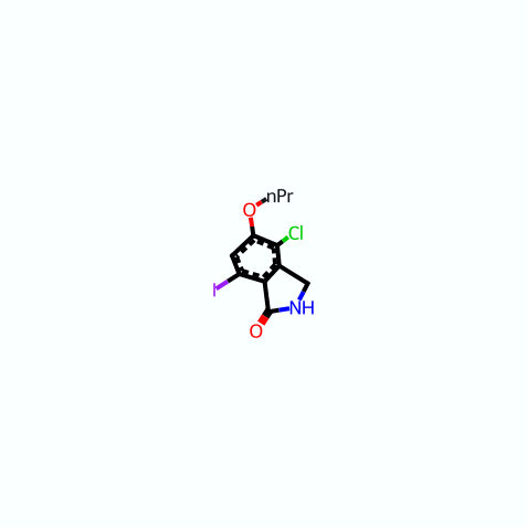 CCCOc1cc(I)c2c(c1Cl)CNC2=O